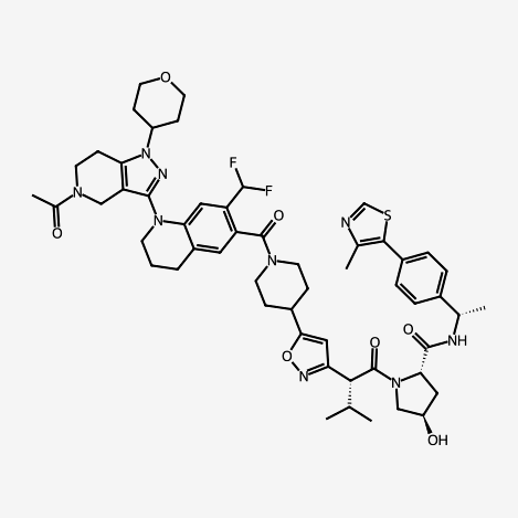 CC(=O)N1CCc2c(c(N3CCCc4cc(C(=O)N5CCC(c6cc([C@H](C(=O)N7C[C@H](O)C[C@H]7C(=O)N[C@@H](C)c7ccc(-c8scnc8C)cc7)C(C)C)no6)CC5)c(C(F)F)cc43)nn2C2CCOCC2)C1